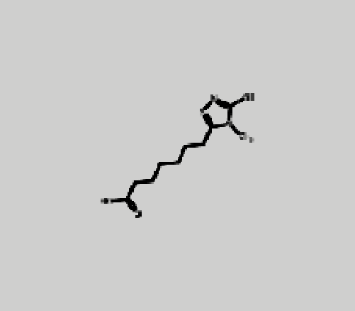 Cn1c(S)nnc1CCCCCCC(=O)O